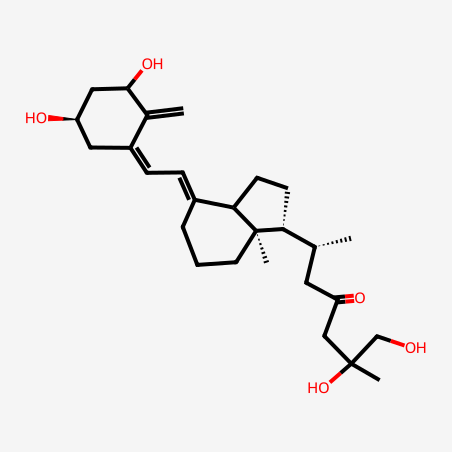 C=C1/C(=C\C=C2CCC[C@@]3(C)C2CC[C@@H]3[C@H](C)CC(=O)CC(C)(O)CO)C[C@@H](O)CC1O